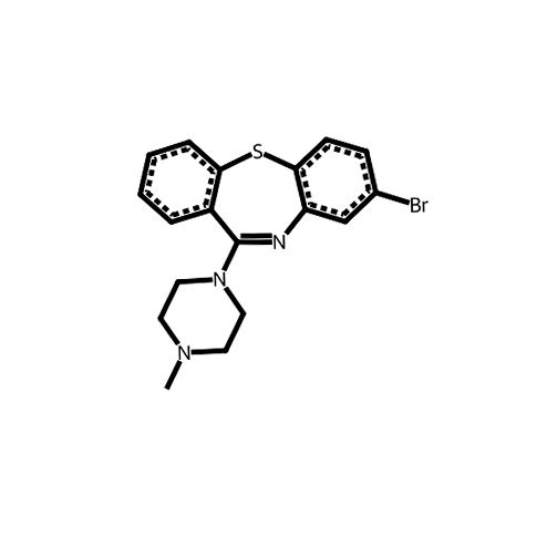 CN1CCN(C2=Nc3cc(Br)ccc3Sc3ccccc32)CC1